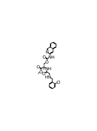 COC(=O)[C@@H](COC(=O)Nc1cc2ccccc2cn1)NC(=O)CNCc1ccccc1Cl